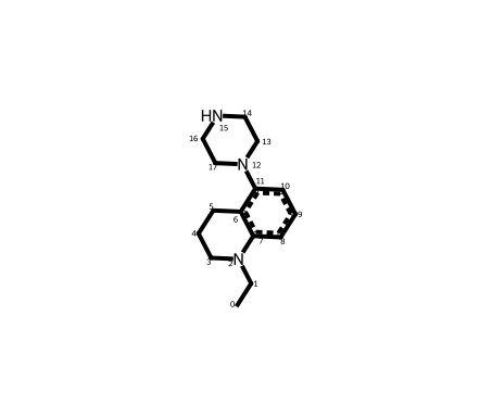 CCN1CCCc2c1cccc2N1CCNCC1